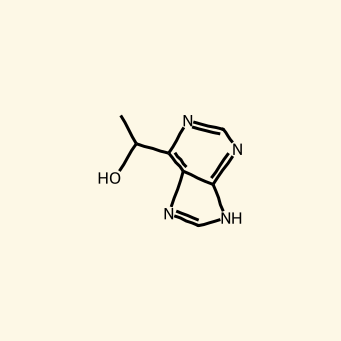 CC(O)c1ncnc2[nH]cnc12